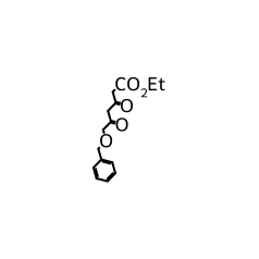 CCOC(=O)CC(=O)CC(=O)COCc1ccccc1